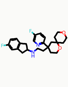 Fc1ccc(C2(CCNC3Cc4ccc(F)cc4C3)CCOC3(CCOCC3)C2)nc1